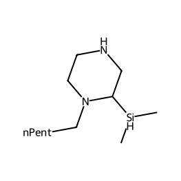 CCCCCCN1CCNCC1[SiH](C)C